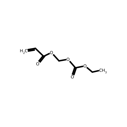 C=CC(=O)OCOC(=O)OCC